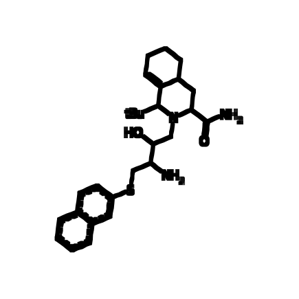 CC(C)(C)C1C2=CCCCC2CC(C(N)=O)N1CC(O)C(N)CSc1ccc2ccccc2c1